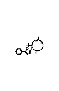 CC1=C/CC(C)N(c2ccc(-c3ccccc3)[pH]2)/C=C\CC/C=C\1